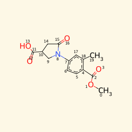 COC(=O)c1ccc(N2CC(C(=O)O)CC2=O)cc1C